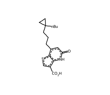 CCCCC1(CCCc2cc(=O)[nH]c3c(C(=O)O)csc23)CC1